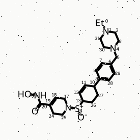 CCN1CCN(Cc2ccc(C3C=CC([S+]([O-])N4CC=C(C(=O)NO)CC4)CC3)cc2)CC1